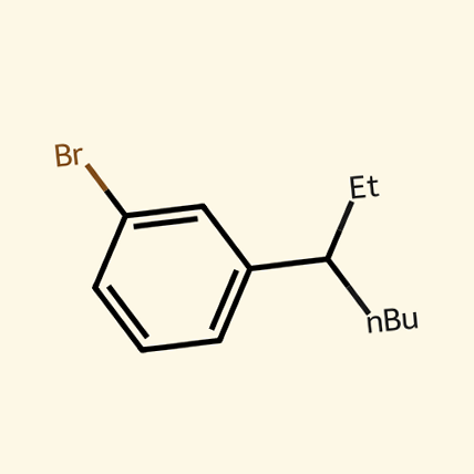 CCCCC(CC)c1cccc(Br)c1